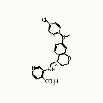 CN(c1ccc2c(c1)OCC[C@H]2CNc1cnccc1C(=O)O)c1ccc(Cl)cn1